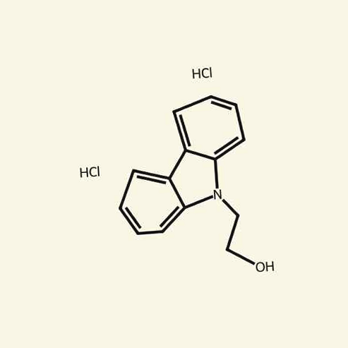 Cl.Cl.OCCn1c2ccccc2c2ccccc21